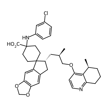 C[C@@H](COc1ccnc2c1[C@@H](C)CCC2)C[C@@H]1Cc2cc3c(cc2C12CCC(Nc1cccc(Cl)c1)(C(=O)O)CC2)OCO3